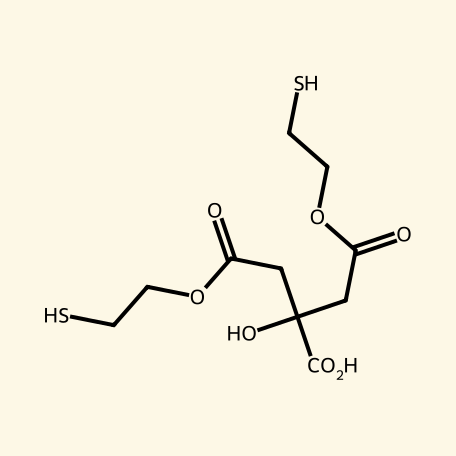 O=C(CC(O)(CC(=O)OCCS)C(=O)O)OCCS